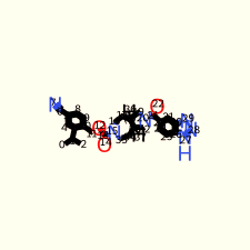 CC(C)c1cc(C#N)ccc1COC(=O)N1CC[C@@H]2CN(C(=O)c3ccc4[nH]nnc4c3)C[C@@H]2CC1